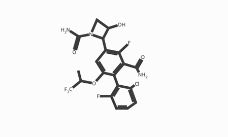 CC(Oc1cc(C2C(O)CN2C(N)=O)c(F)c(C(N)=O)c1-c1c(F)cccc1Cl)C(F)(F)F